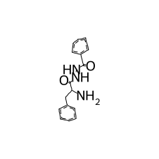 NC(Cc1ccccc1)C(=O)NNC(=O)c1ccccc1